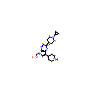 OCn1cc(C2CCNCC2)c2nc(C3CCN(C4CC4)CC3)cnc21